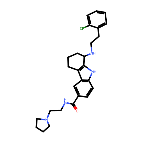 O=C(NCCN1CCCC1)c1ccc2[nH]c3c(c2c1)CCCC3NCCc1ccccc1Cl